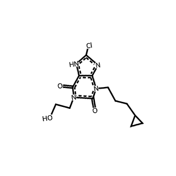 O=c1c2[nH]c(Cl)nc2n(CCCC2CC2)c(=O)n1CCO